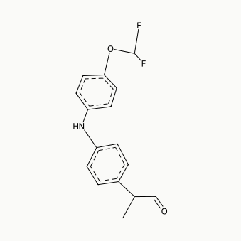 CC(C=O)c1ccc(Nc2ccc(OC(F)F)cc2)cc1